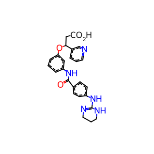 O=C(O)CC(Oc1cccc(NC(=O)c2ccc(NC3=NCCCN3)cc2)c1)c1cccnc1